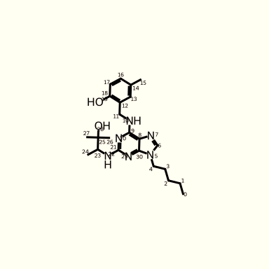 CCCCCn1cnc2c(NCc3cc(C)ccc3O)nc(NC(C)C(C)(C)O)nc21